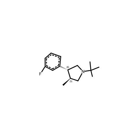 C[C@@H]1CN(C(C)(C)C)C[C@H]1c1cccc(F)c1